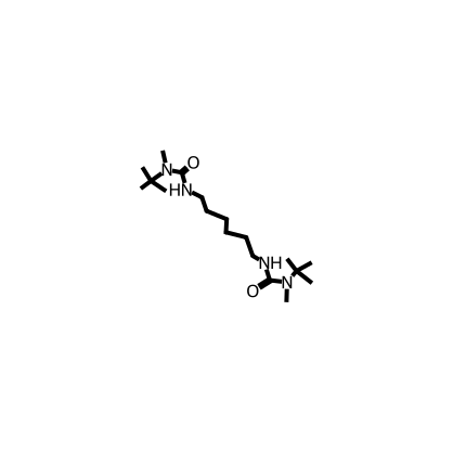 CN(C(=O)NCCCCCCNC(=O)N(C)C(C)(C)C)C(C)(C)C